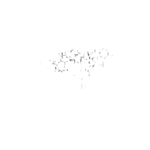 CC(C)OC(=O)[C@H](C)NP(=O)(Oc1ccccc1)O[C@@H]1CO[C@@H](n2cnc3c(N)ncnc32)[C@]1(C)Cl